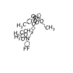 CCCCOC(=O)[C@@H]1CCCN1S(=O)(=O)c1ccc(C)cc1OC1CC(CCCN(C(=O)OC(C)(C)C)C2CCC(F)(F)CC2)C1